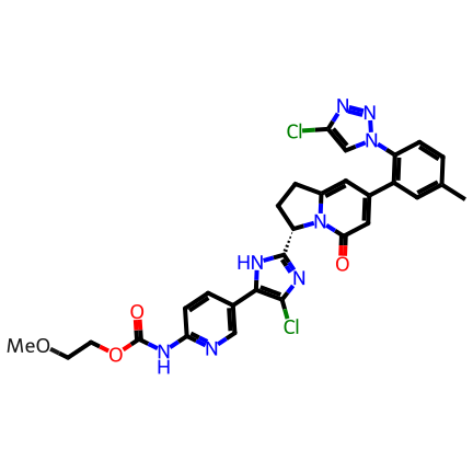 COCCOC(=O)Nc1ccc(-c2[nH]c([C@@H]3CCc4cc(-c5cc(C)ccc5-n5cc(Cl)nn5)cc(=O)n43)nc2Cl)cn1